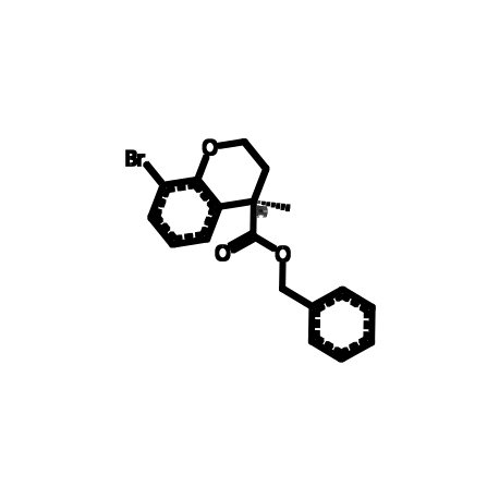 C[C@@]1(C(=O)OCc2ccccc2)CCOc2c(Br)cccc21